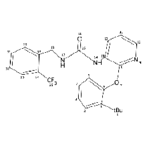 CC(C)(C)c1ccccc1Oc1ncccc1NC(=O)NCc1ccccc1C(F)(F)F